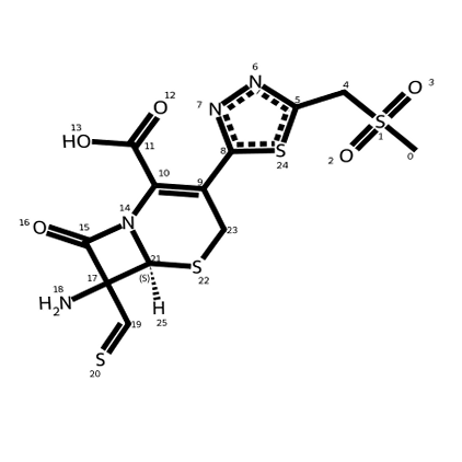 CS(=O)(=O)Cc1nnc(C2=C(C(=O)O)N3C(=O)C(N)(C=S)[C@@H]3SC2)s1